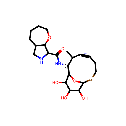 CC1/C=C\CCSC2OC(C(O)C(O)C2O)[C@@H]1NC(=O)C1NCC2CCCCOC21